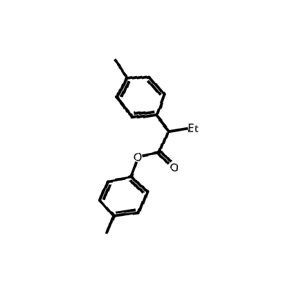 CCC(C(=O)Oc1ccc(C)cc1)c1ccc(C)cc1